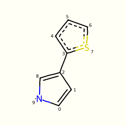 C1=CC(c2cccs2)=C[N]1